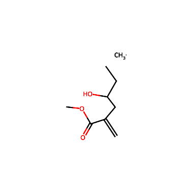 C=C(CC(O)CC)C(=O)OC.[CH3]